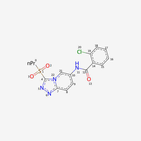 CCCS(=O)(=O)c1nnc2ccc(NC(=O)c3ccccc3Cl)cn12